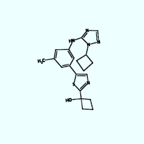 Cc1cc(Nc2ncnn2C2CCC2)cc(-c2cnc(C3(O)CCC3)s2)c1